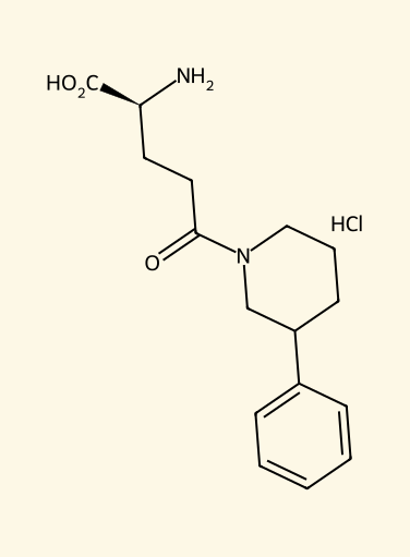 Cl.N[C@@H](CCC(=O)N1CCCC(c2ccccc2)C1)C(=O)O